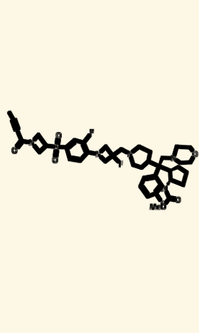 CC#CC(=O)N1CC(S(=O)(=O)c2ccc(N3CC(F)(CN4CCC([C@@](CN5CCOCC5)(c5cccc(F)c5)[C@H]5CCC[C@@H]5NC(=O)OC)CC4)C3)c(F)c2)C1